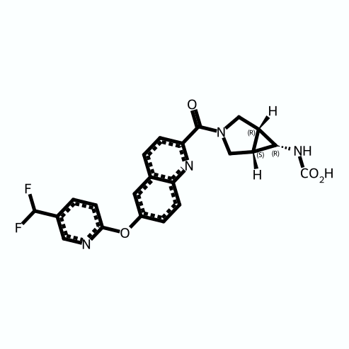 O=C(O)N[C@@H]1[C@@H]2CN(C(=O)c3ccc4cc(Oc5ccc(C(F)F)cn5)ccc4n3)C[C@@H]21